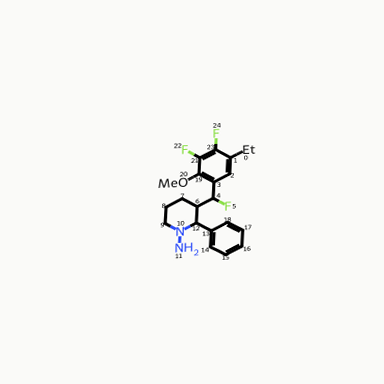 CCc1cc(C(F)C2CCCN(N)C2c2ccccc2)c(OC)c(F)c1F